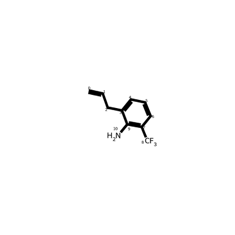 C=CCc1cccc(C(F)(F)F)c1N